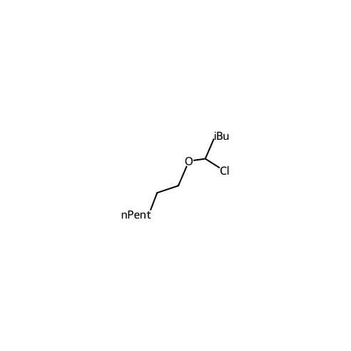 CCCCCCCOC(Cl)C(C)CC